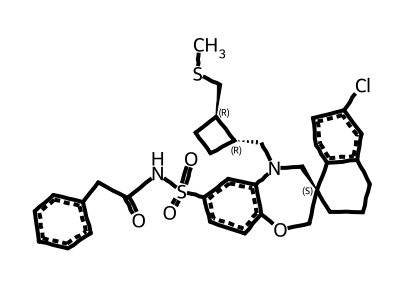 CSC[C@@H]1CC[C@H]1CN1C[C@@]2(CCCc3cc(Cl)ccc32)COc2ccc(S(=O)(=O)NC(=O)Cc3ccccc3)cc21